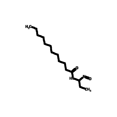 CCCCCCCCCCCC(=O)NC(CC)N=O